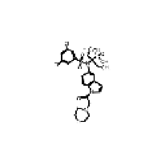 CCC(CC)(N(c1ccc2c(ccn2C(=O)CN2CCOCC2)c1)S(=O)(=O)c1cc(Cl)cc(Cl)c1)P(=O)(O)O